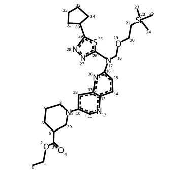 CCOC(=O)C1CCCN(c2cnc3ccc(N(COCC[Si](C)(C)C)c4nnc(C5CCCC5)s4)nc3c2)C1